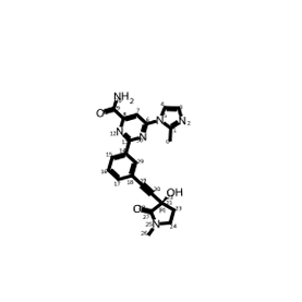 Cc1nccn1-c1cc(C(N)=O)nc(-c2cccc(C#C[C@]3(O)CCN(C)C3=O)c2)n1